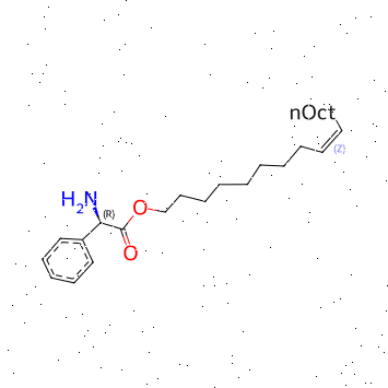 CCCCCCCC/C=C\CCCCCCCCOC(=O)[C@H](N)c1ccccc1